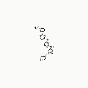 Cc1cccc(-c2nccc(Nc3ccnc(Nc4cnn(CCN5CCOCC5)c4)n3)n2)n1